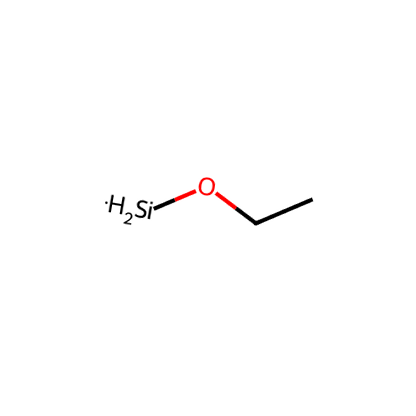 CCO[SiH2]